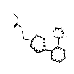 NCC(=O)NCc1ccc(-c2ccccc2-c2nnn[nH]2)cc1